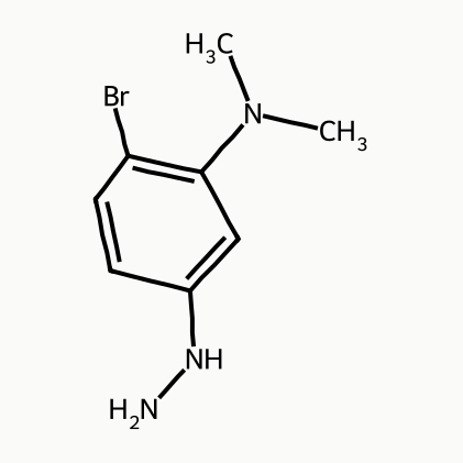 CN(C)c1cc(NN)ccc1Br